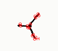 C=C(C)C(=O)OCCCCCCOC(=O)c1cc(OCCCCCCCCOC(=O)CCC(=O)OC)ccc1OCCCCCCCCOC(=O)CCC(=O)O